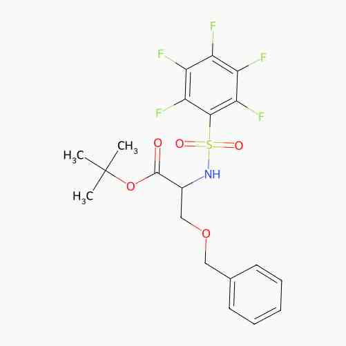 CC(C)(C)OC(=O)C(COCc1ccccc1)NS(=O)(=O)c1c(F)c(F)c(F)c(F)c1F